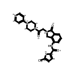 O=C(Nc1cccc2c1CN(CC(=O)N1CCN(c3ccncc3)CC1)C2=O)c1ccc(Cl)s1